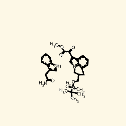 COC(=O)C(=O)c1cn2c3c(cccc13)CC(CO[Si](C)(C)C(C)(C)C)C2.NC(=O)Cc1c[nH]c2ccccc12